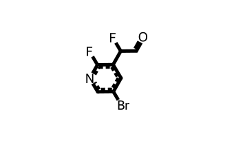 O=CC(F)c1cc(Br)cnc1F